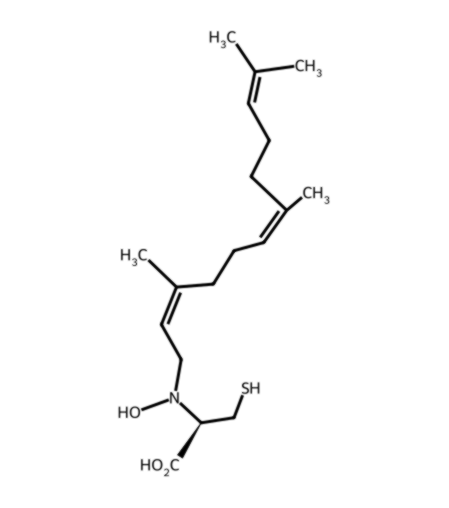 CC(C)=CCCC(C)=CCCC(C)=CCN(O)[C@@H](CS)C(=O)O